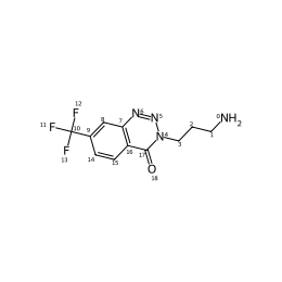 NCCCn1nnc2cc(C(F)(F)F)ccc2c1=O